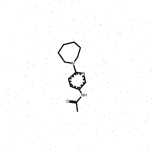 CC(=O)Nc1ccc(N2CCCCCC2)nc1